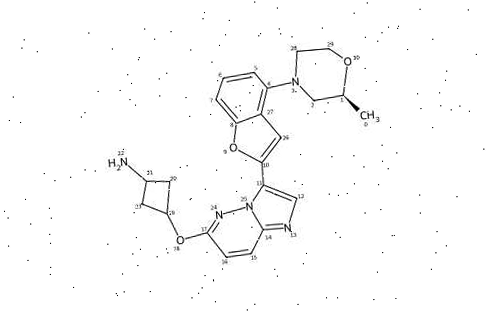 C[C@H]1CN(c2cccc3oc(-c4cnc5ccc(OC6CC(N)C6)nn45)cc23)CCO1